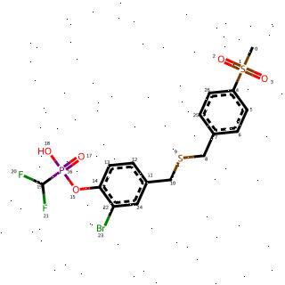 CS(=O)(=O)c1ccc(CSCc2ccc(OP(=O)(O)C(F)F)c(Br)c2)cc1